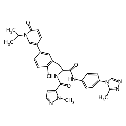 Cc1nncn1-c1ccc(NC(=O)C(Cc2cc(-c3ccc(=O)n(C(C)C)c3)ccc2Cl)NC(=O)c2ccnn2C)cc1